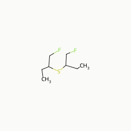 CCC(CF)SC(CC)CF